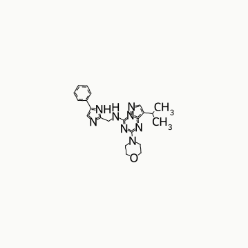 CC(C)c1cnn2c(NCc3ncc(-c4ccccc4)[nH]3)nc(N3CCOCC3)nc12